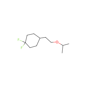 CC(C)OCCC1CCC(F)(F)CC1